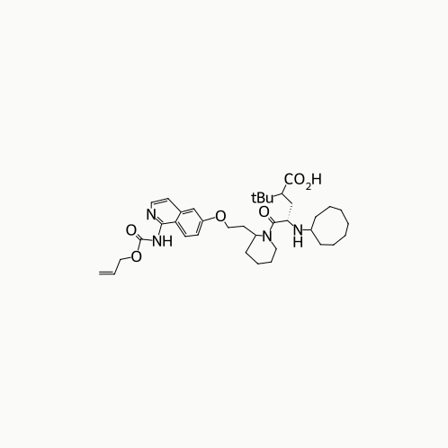 C=CCOC(=O)Nc1nccc2cc(OCCC3CCCCN3C(=O)[C@H](CC(C(=O)O)C(C)(C)C)NC3CCCCCCC3)ccc12